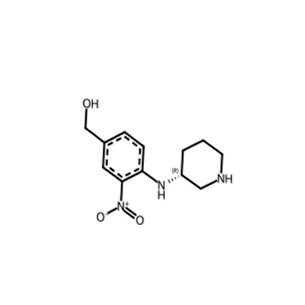 O=[N+]([O-])c1cc(CO)ccc1N[C@@H]1CCCNC1